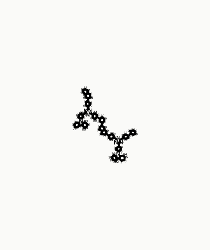 C1=Cc2c(n(-c3ccc(-c4nc(-c5ccc(-c6ccccc6)cc5)nc(-c5ccc(-c6ccc7ccc(-c8cccc(-c9ccc(-c%10nc(-c%11ccc(-c%12ccc%13ccccc%13c%12)cc%11)nc(-c%11cccc(-n%12c%13ccccc%13c%13ccccc%13%12)c%11)n%10)cc9)c8)cc7c6)cc5)n4)cc3)c3ccccc23)CC1